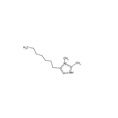 CCCCCCCc1c[nH]c(C)[n+]1C